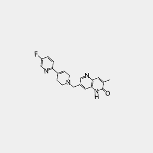 Cc1cc2ncc(CN3CC=C(c4ccc(F)cn4)CC3)cc2[nH]c1=O